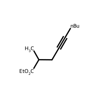 CCCCC#CCC(C)C(=O)OCC